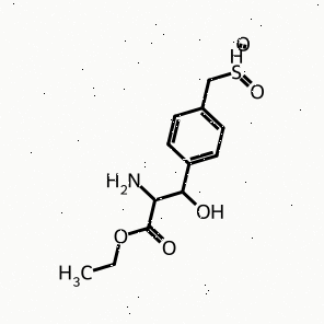 CCOC(=O)C(N)C(O)c1ccc(C[SH](=O)=O)cc1